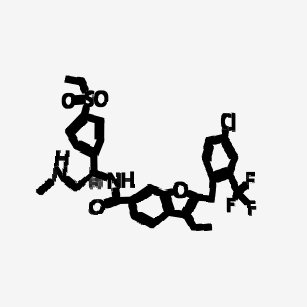 CCc1c(Cc2ccc(Cl)cc2C(F)(F)F)oc2cc(C(=O)N[C@@H](CNC)c3ccc(S(=O)(=O)CC)cc3)ccc12